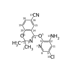 CC1(C)N=C(Oc2ncc(Cl)cc2N)c2cc(C#N)ccc2O1